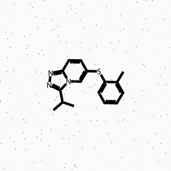 Cc1ccccc1Sc1ccc2nnc(C(C)C)n2c1